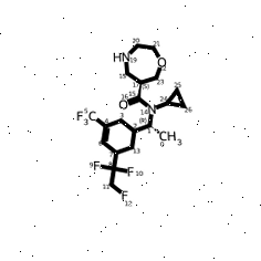 C[C@H](C1CC(C(F)(F)F)=CC(C(F)(F)CF)C1)N(C(=O)[C@H]1CNCCOC1)C1CC1